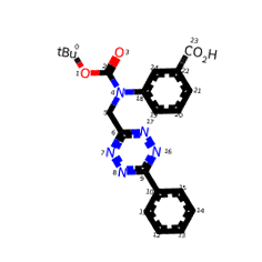 CC(C)(C)OC(=O)N(Cc1nnc(-c2ccccc2)nn1)c1cccc(C(=O)O)c1